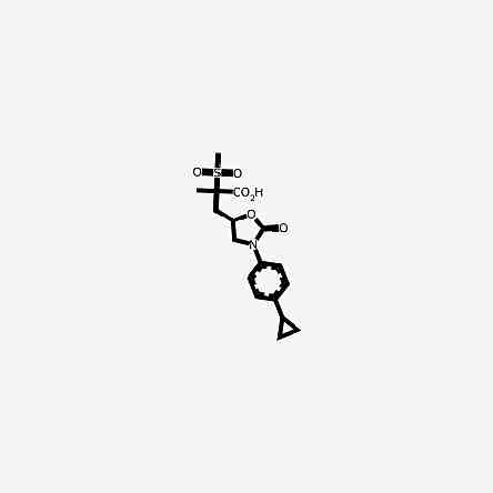 CC(CC1CN(c2ccc(C3CC3)cc2)C(=O)O1)(C(=O)O)S(C)(=O)=O